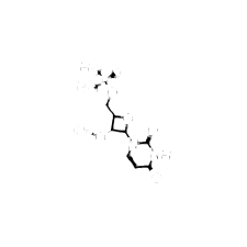 CC(C)O[C@H]1C(COP(=O)(O)O)OC1n1ccc(=O)[nH]c1=O